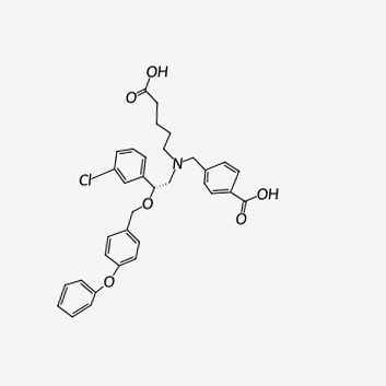 O=C(O)CCCCN(Cc1ccc(C(=O)O)cc1)C[C@H](OCc1ccc(Oc2ccccc2)cc1)c1cccc(Cl)c1